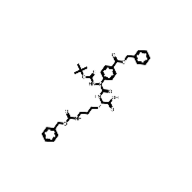 CC(C)(C)OC(=O)NN(C(=O)N[C@@H](CCCCNC(=O)OCc1ccccc1)C(=O)O)c1ccc(C(=O)OCc2ccccc2)cc1